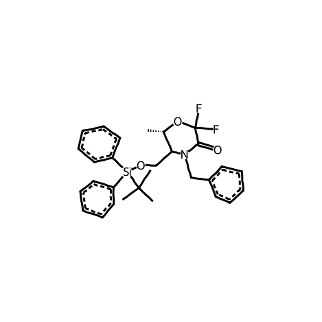 C[C@@H]1OC(F)(F)C(=O)N(Cc2ccccc2)C1CO[Si](c1ccccc1)(c1ccccc1)C(C)(C)C